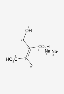 CC(C(=O)O)=C(CO)C(=O)O.[Na].[Na]